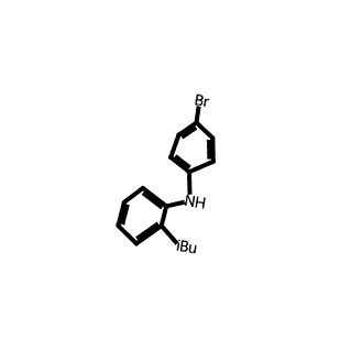 CCC(C)c1ccccc1Nc1ccc(Br)cc1